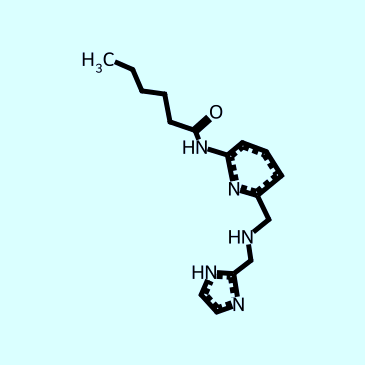 CCCCCC(=O)Nc1cccc(CNCc2ncc[nH]2)n1